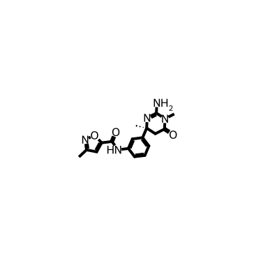 Cc1cc(C(=O)Nc2cccc([C@]3(C)CC(=O)N(C)C(N)=N3)c2)on1